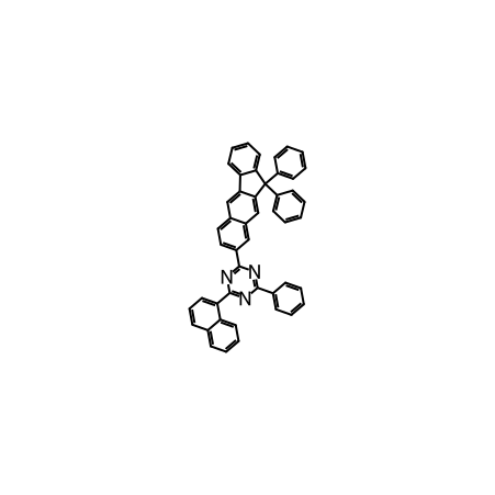 c1ccc(-c2nc(-c3ccc4cc5c(cc4c3)C(c3ccccc3)(c3ccccc3)c3ccccc3-5)nc(-c3cccc4ccccc34)n2)cc1